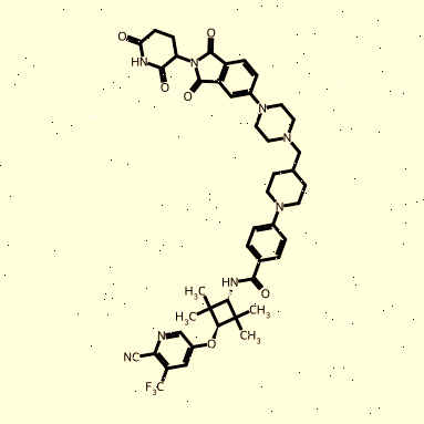 CC1(C)[C@H](NC(=O)c2ccc(N3CCC(CN4CCN(c5ccc6c(c5)C(=O)N(C5CCC(=O)NC5=O)C6=O)CC4)CC3)cc2)C(C)(C)[C@H]1Oc1cnc(C#N)c(C(F)(F)F)c1